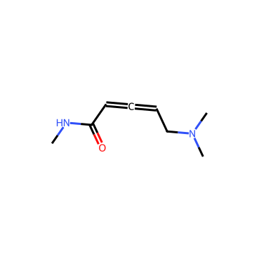 CNC(=O)C=C=CCN(C)C